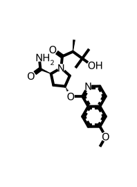 COc1ccc2c(O[C@@H]3C[C@@H](C(N)=O)N(C(=O)[C@@H](C)C(C)(C)O)C3)nccc2c1